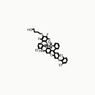 CCc1cccc(CC)c1/N=c1\ccc2c(-c3ccccc3S(=O)(=O)NS(=O)(=O)c3c(F)c(F)c(SCCCCO)c(F)c3F)c3ccc(Nc4c(CC)cccc4CC)cc3oc-2c1